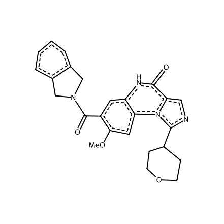 COc1cc2c(cc1C(=O)N1Cc3ccccc3C1)[nH]c(=O)c1cnc(C3CCOCC3)n12